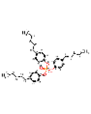 CCCCCc1ccc(OP(=O)(Oc2ccc(CCCCC)cc2)Oc2ccc(CCCCC)cc2)cc1